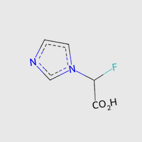 O=C(O)C(F)n1ccnc1